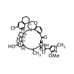 COc1nn(C)cc1C(=O)N[S@@]1(=O)=NC(=O)c2ccc3c(c2)N(C[C@@H]2CC[C@H]2[C@H]2OC(O)C[C@@H]2CC[C@H](C)C1)C[C@@]1(CCCc2cc(Cl)ccc21)CO3